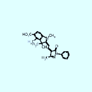 CC1=NN(c2ccccc2)C(=O)C1=CC=C1N(C)c2ccc(C(=O)O)c(C)c2C1(C)C